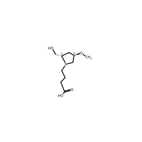 CO[C@@H]1C[C@@H](CO)N(CCCC(=O)O)C1